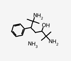 CC(C)(N)C(O)CC(c1ccccc1)C(C)(C)N.N